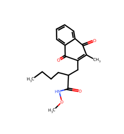 CCCCC(CC1=C(C)C(=O)c2ccccc2C1=O)C(=O)NOC